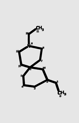 CCC1CCCC2(CCN(CC)CC2)C1